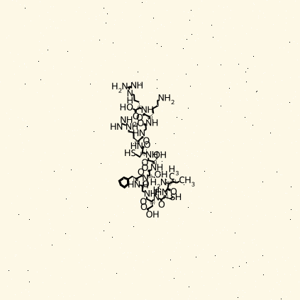 CC[C@H](C)[C@H](N)C(=O)N[C@@H](CS)C(=O)N[C@@H](CC(=O)O)C(=O)NCC(=O)N[C@@H](Cc1ccccc1)C(=O)N[C@@H](CO)C(=O)N[C@@H](CO)C(=O)N[C@@H](CS)C(=O)N[C@@H](CCCNC(=N)N)C(=O)NCC(=O)N[C@@H](CCCCN)C(=O)N[C@@H](CCCNC(=N)N)C(=O)O